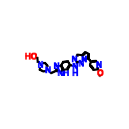 COc1ccc(-c2ccc3cnc(Nc4ccc5nc(CN6CCN(CCO)CC6)[nH]c5c4)nn23)cn1